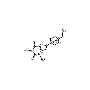 CCCn1c(=O)c2[nH]c(C34CCC(CO)(CC3)CO4)nc2n(CCC)c1=O